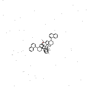 CCC1=CC2=C(CCCC2c2cccc3ccccc23)[CH]1[Zr+2]1([CH]2C(CC)=CC3=C2CCCC3c2cccc3ccccc23)[CH2][CH2]1.[Cl-].[Cl-]